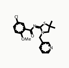 COc1ccc(Cl)cc1C(=O)N=C1SC(C)(C)CN1Cc1cccnc1